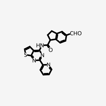 O=Cc1ccc2c(c1)CCC2C(=O)Nc1nc(-c2ccccn2)nc2sccc12